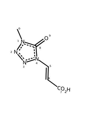 Cn1nnn(C=CC(=O)O)c1=O